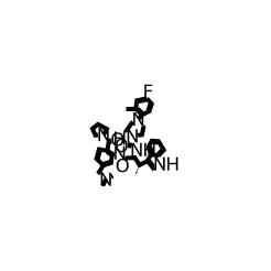 Cc1cc(F)ccc1N1CCN(C(=O)N[C@@H](C(=O)Nc2cc(CN(C)C)ccc2C(=O)N2CCCC2)[C@@H](C)c2c[nH]c3ccccc23)CC1